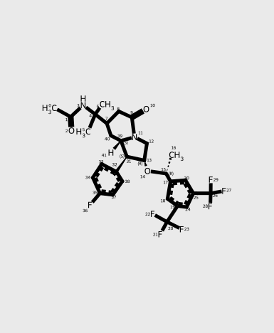 CC(=O)NC(C)(C)C1CC(=O)N2C[C@H](O[C@H](C)c3cc(C(F)(F)F)cc(C(F)(F)F)c3)[C@@H](c3ccc(F)cc3)[C@@H]2C1